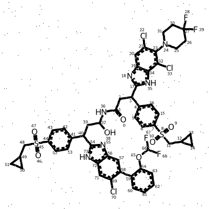 O=C(CC(c1ccc(S(=O)(=O)CC2CC2)cc1)c1nc2cc(Cl)c(N3CCC(F)(F)CC3)c(Cl)c2[nH]1)NC(O)CC(c1ccc(S(=O)(=O)CC2CC2)cc1)c1nc2cc(-c3ccccc3OC(F)F)c(Cl)cc2[nH]1